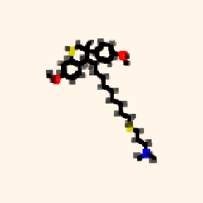 COc1ccc(C2(C)CSc3cc(OC)ccc3C2CCCCCCCCCSCCCN(C)C)cc1